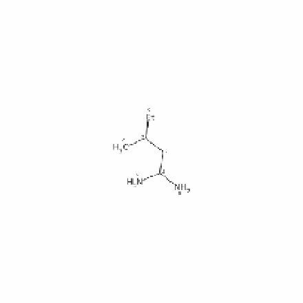 CC[C@H](C)CC(N)N